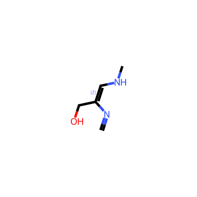 C=N/C(=C\NC)CO